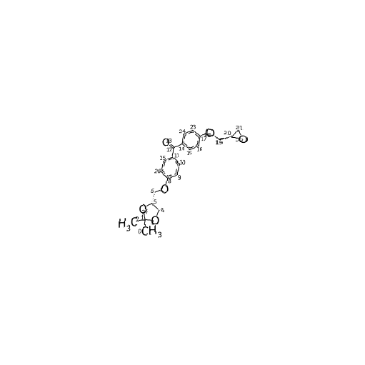 CC1(C)OC[C@@H](COc2ccc(C(=O)c3ccc(OC[C@H]4CO4)cc3)cc2)O1